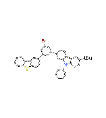 CC(C)(C)c1ccc2c(c1)c1ccc(-c3cc(Br)cc(-c4ccc5sc6ccccc6c5c4)c3)cc1n2-c1ccccc1